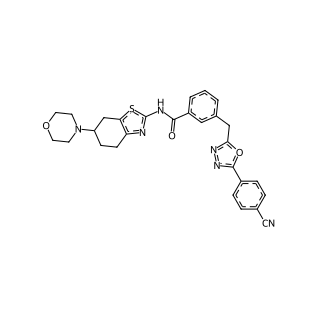 N#Cc1ccc(-c2nnc(Cc3cccc(C(=O)Nc4nc5c(s4)CC(N4CCOCC4)CC5)c3)o2)cc1